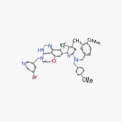 COc1ccc(CN(Cc2ccc(OC)cc2)c2cc(C)c(C(F)(F)F)c(-c3cc4c5c(c3Cl)=NCNC=5N(Cc3cncc(Br)c3)C=CO4)n2)cc1